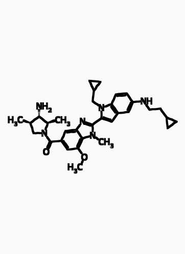 COc1cc(C(=O)N2C[C@@H](C)[C@H](N)[C@H]2C)cc2nc(-c3cc4cc(NCCC5CC5)ccc4n3CC3CC3)n(C)c12